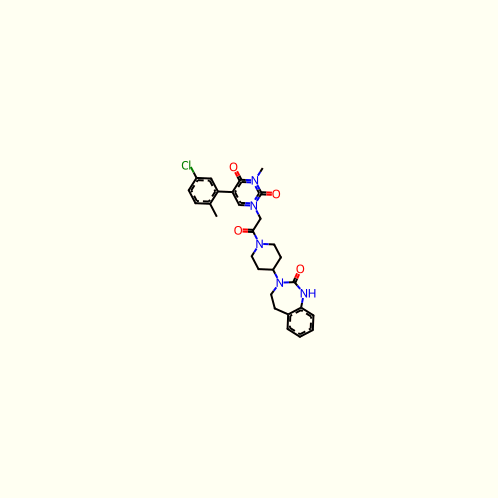 Cc1ccc(Cl)cc1-c1cn(CC(=O)N2CCC(N3CCc4ccccc4NC3=O)CC2)c(=O)n(C)c1=O